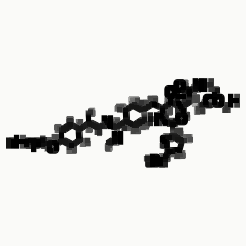 C=N/C(=N\C=C(/C)c1ccc(OCCCCCCC)cc1)c1ccc(C[C@H](NC(=O)c2ccc(C(C)(C)C)s2)C(=O)N[C@@H](CC(=O)O)C(N)=O)cc1